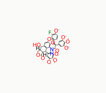 COc1ccc(/C=C(/C(=O)Nc2c3c(cc4c2[C@@H](c2cc(OC)c(OC)c(OC)c2)[C@H]2C(=O)OC[C@@H]2[C@H]4O)OCO3)c2cc(OC)c(OC)c(OC)c2)cc1F